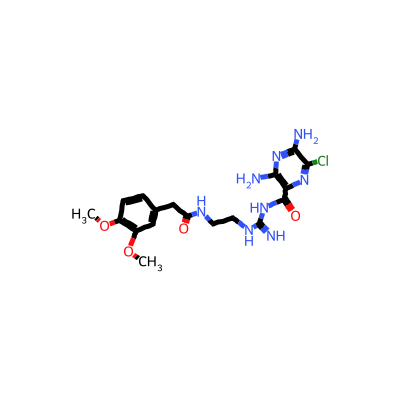 COc1ccc(CC(=O)NCCNC(=N)NC(=O)c2nc(Cl)c(N)nc2N)cc1OC